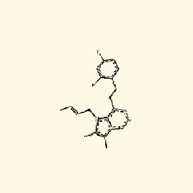 CC=CCn1c(C)c(C)c2cnnc(CCc3ccc(F)cc3F)c21